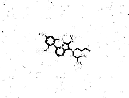 COc1cc(C)cc(C)c1-c1cccc2c(N(CCCF)CC(C)C)c(SC)nn12